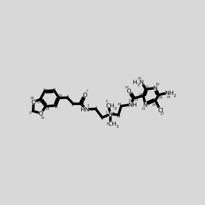 C[N+](C)(CCNC(=O)CCc1ccc2c(c1)OCO2)CCNC(=O)c1nc(Cl)c(N)nc1N